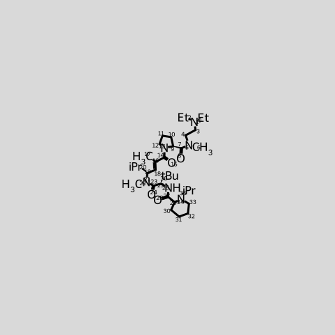 CCN(CC)CCN(C)C(=O)[C@@H]1CCCN1C(=O)/C(C)=C/[C@H](C(C)C)N(C)C(=O)[C@@H](NC(=O)C1CCCCN1C(C)C)C(C)(C)C